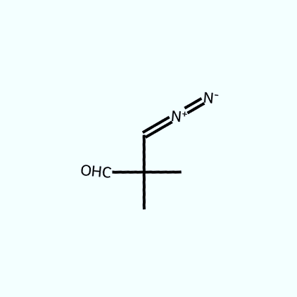 CC(C)(C=O)C=[N+]=[N-]